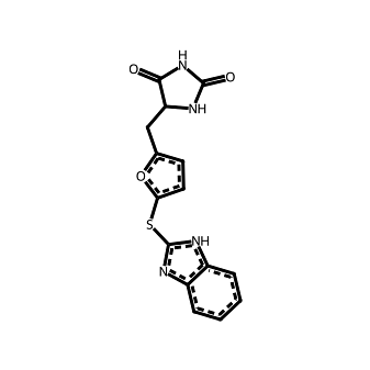 O=C1NC(=O)C(Cc2ccc(Sc3nc4ccccc4[nH]3)o2)N1